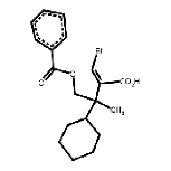 CCC=C(C(=O)O)C(C)(COC(=O)c1ccccc1)C1CCCCC1